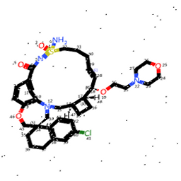 NS1(=O)=NC(=O)c2ccc3c(c2)N(C[C@@H]2CC[C@H]2[C@@H](OCCN2CCOCC2)/C=C/CCC1)C[C@@]1(CCCc2cc(Cl)ccc21)CO3